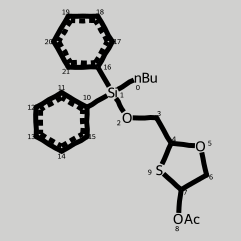 CCCC[Si](OCC1OCC(OC(C)=O)S1)(c1ccccc1)c1ccccc1